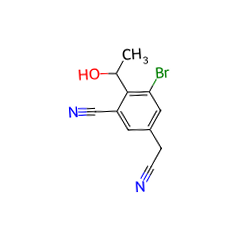 CC(O)c1c(Br)cc(CC#N)cc1C#N